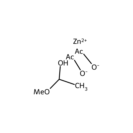 CC(=O)[O-].CC(=O)[O-].COC(C)O.[Zn+2]